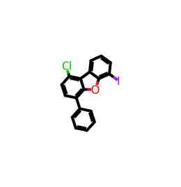 Clc1ccc(-c2ccccc2)c2oc3c(I)cccc3c12